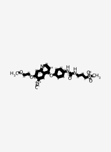 [C-]#[N+]c1cc2c(Oc3ccc(NC(=O)NCCCS(C)(=O)=O)cc3)ccnc2cc1OCCOC